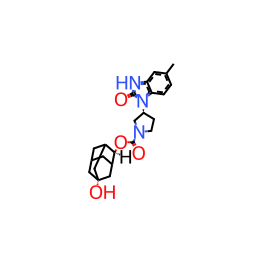 Cc1ccc2c(c1)[nH]c(=O)n2[C@@H]1CCN(C(=O)O[C@H]2C3CC4CC2C[C@](O)(C4)C3)C1